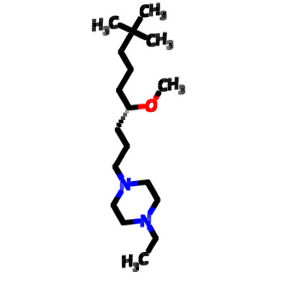 CCN1CCN(CCC[C@H](CCCC(C)(C)C)OC)CC1